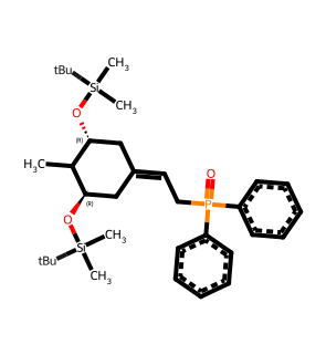 CC1[C@H](O[Si](C)(C)C(C)(C)C)CC(=CCP(=O)(c2ccccc2)c2ccccc2)C[C@H]1O[Si](C)(C)C(C)(C)C